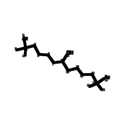 CC(=O)C(C)(C)CCCCC(O)CCCCC(C)(C)C(C)=O